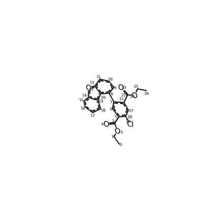 CCOC(=O)c1cc(-c2cccc3oc4ccccc4c23)c(C(=O)OCC)cc1Cl